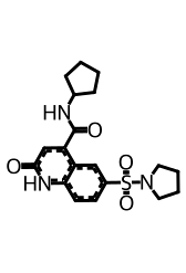 O=C(NC1CCCC1)c1cc(=O)[nH]c2ccc(S(=O)(=O)N3CCCC3)cc12